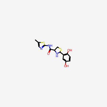 Cc1cnc(NC(=O)C2CSC(c3cc(O)ccc3O)N2)s1